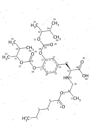 CCCCCC(=O)OC(C)CN[C@@H](Cc1ccc(OC(=O)OC(C)C(C)C)c(OC(=O)OC(C)C(C)C)c1)C(=O)O